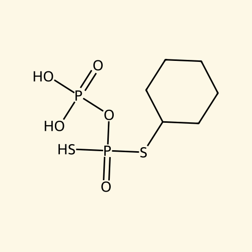 O=P(O)(O)OP(=O)(S)SC1CCCCC1